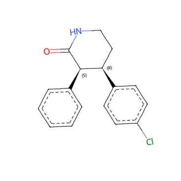 O=C1NCC[C@@H](c2ccc(Cl)cc2)[C@H]1c1ccccc1